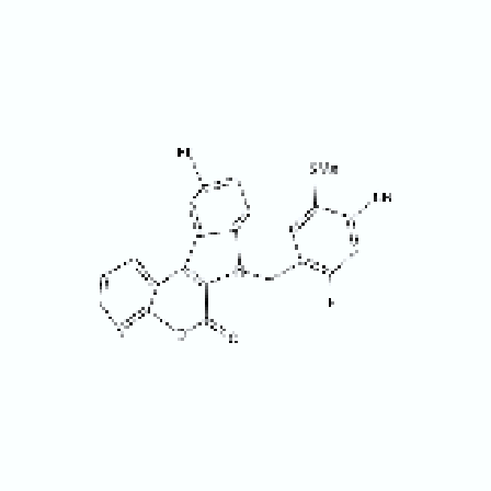 CCc1ccc2c(c1)c1c3cccnc3oc(=O)c1n2Cc1cc(SC)c(C#N)cc1F